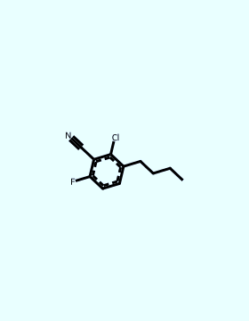 CCCCc1ccc(F)c(C#N)c1Cl